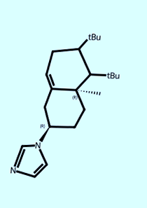 CC(C)(C)C1CC=C2C[C@H](n3ccnc3)CC[C@]2(C)C1C(C)(C)C